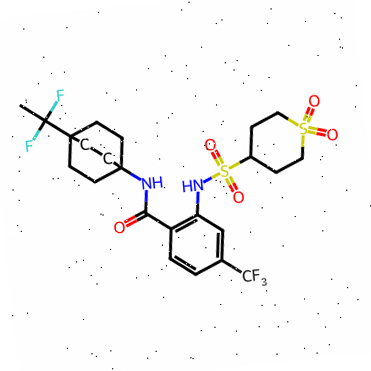 CC(F)(F)C12CCC(NC(=O)c3ccc(C(F)(F)F)cc3NS(=O)(=O)C3CCS(=O)(=O)CC3)(CC1)CC2